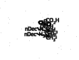 CCCCCCCCCCCCCCCC[N+](C)(C)C.CCCCCCCCCCCCCCCC[N+](C)(C)C.O=C(O)c1ccccc1S(=O)(=O)c1ccccc1C(=O)O